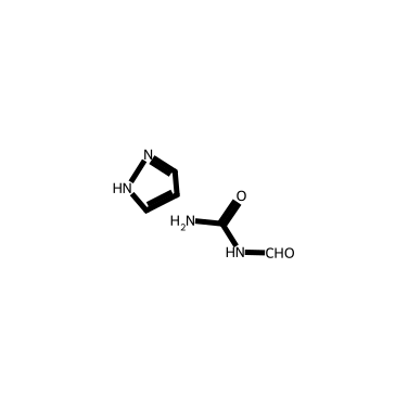 NC(=O)NC=O.c1cn[nH]c1